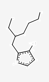 CCCCC(CC)Cc1sccc1Cl